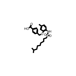 Cc1ccc(NS(=O)(=O)CCCCCCCC(C)C)c(OCc2ccc(C(=O)O)cc2)c1